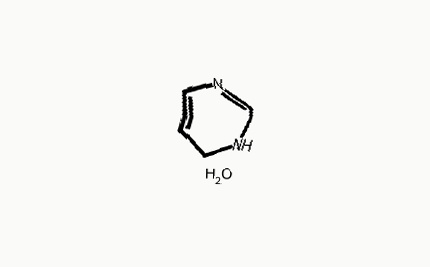 C1=CN=CNC1.O